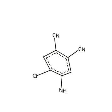 N#Cc1cc([NH])c(Cl)cc1C#N